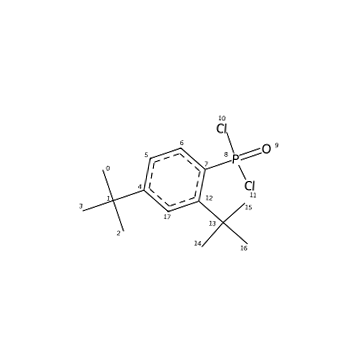 CC(C)(C)c1ccc(P(=O)(Cl)Cl)c(C(C)(C)C)c1